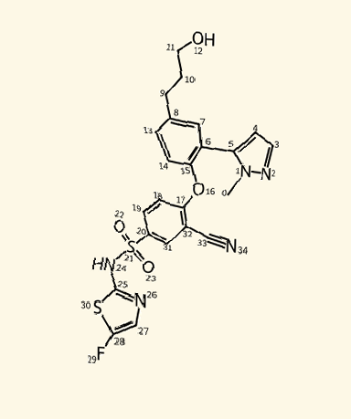 Cn1nccc1-c1cc(CCCO)ccc1Oc1ccc(S(=O)(=O)Nc2ncc(F)s2)cc1C#N